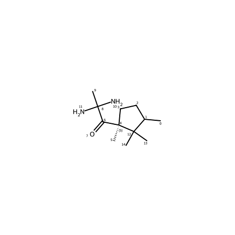 CC1CC[C@](C)(C(=O)C(C)(N)N)C1(C)C